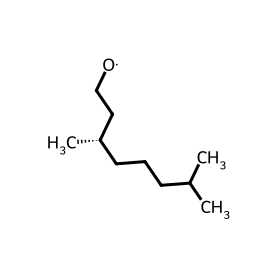 CC(C)CCC[C@H](C)CC[O]